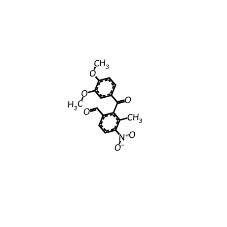 COc1ccc(C(=O)c2c(C=O)ccc([N+](=O)[O-])c2C)cc1OC